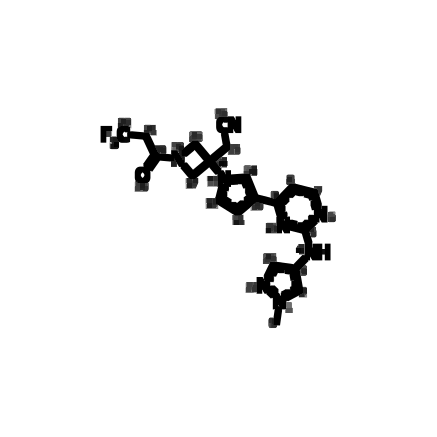 Cn1cc(Nc2nccc(-c3ccn(C4(CC#N)CN(C(=O)CC(F)(F)F)C4)c3)n2)cn1